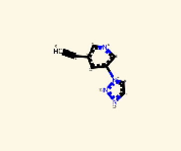 C#Cc1cncc(-n2ccnn2)c1